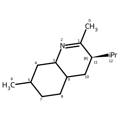 CC1=NC2CC(C)CCC2C[C@@H]1C(C)C